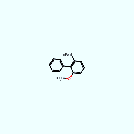 CCCCCc1cccc(OC(=O)O)c1-c1ccccc1